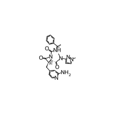 C[C@@H](NC(=O)N1C(=O)[C@H](Cc2ccnc(N)c2)[C@H]1C(=O)N(C)c1ccn(C)n1)c1ccccc1